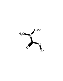 CON(C)C(=O)OC(C)=O